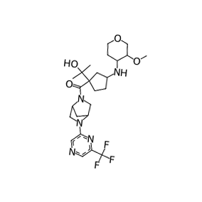 COC1COCCC1NC1CCC(C(=O)N2CC3CC2CN3c2cncc(C(F)(F)F)n2)(C(C)(C)O)C1